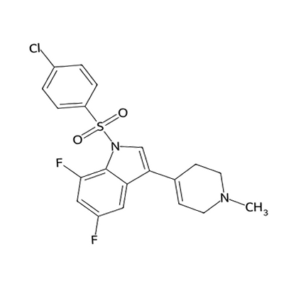 CN1CC=C(c2cn(S(=O)(=O)c3ccc(Cl)cc3)c3c(F)cc(F)cc23)CC1